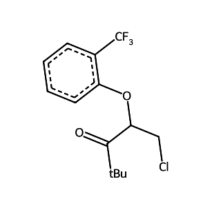 CC(C)(C)C(=O)C(CCl)Oc1ccccc1C(F)(F)F